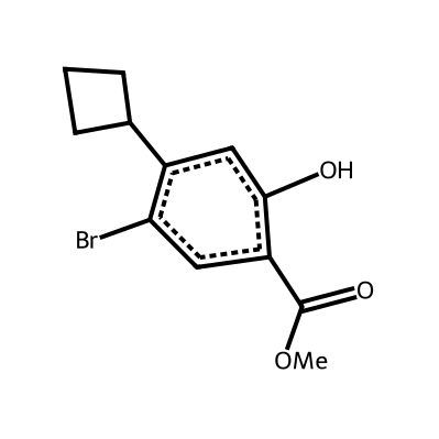 COC(=O)c1cc(Br)c(C2CCC2)cc1O